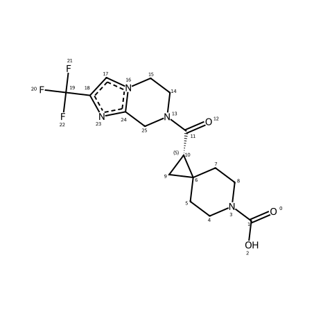 O=C(O)N1CCC2(CC1)C[C@@H]2C(=O)N1CCn2cc(C(F)(F)F)nc2C1